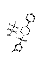 C[n+]1ccn(S(=O)(=O)N2CCC(c3ccccc3)CC2)c1.O=S(=O)(O)C(F)(F)F